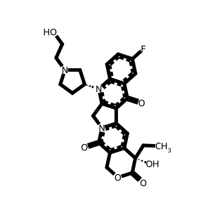 CC[C@@]1(O)C(=O)OCc2c1cc1n(c2=O)Cc2c-1c(=O)c1cc(F)ccc1n2[C@@H]1CCN(CCO)C1